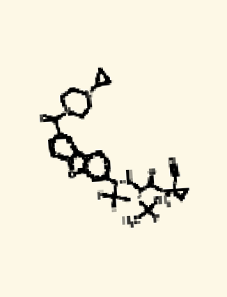 CC(C)(F)C[C@H](N[C@@H](c1ccc2c(c1)oc1ccc(C(=O)N3CCN(C4CC4)CC3)cc12)C(F)(F)F)C(=O)NC1(C#N)CC1